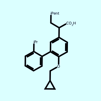 CCCC(C)CC(C(=O)O)c1ccc(OCC2CC2)c(-c2ccccc2C(C)C)c1